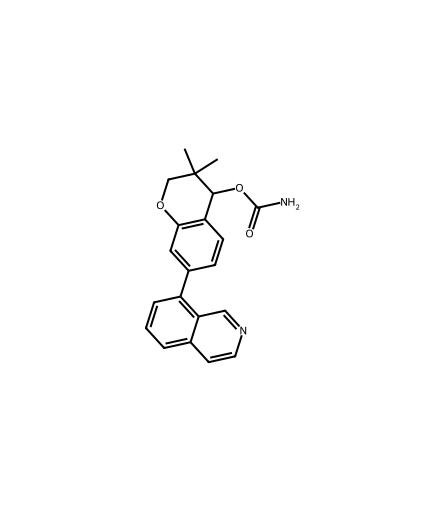 CC1(C)COc2cc(-c3cccc4ccncc34)ccc2C1OC(N)=O